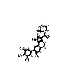 COc1cc2c(cc1-c1cc(Cl)c(Br)c(Cl)c1)-c1[nH]nc(C(=O)N3CCOCC3(C)C)c1CC2